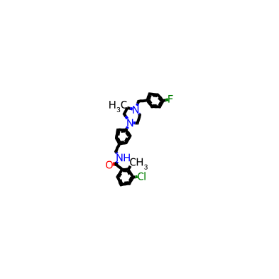 Cc1c(Cl)cccc1C(=O)NCc1ccc(N2CCN(Cc3ccc(F)cc3)C(C)C2)cc1